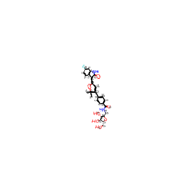 CC1(C)O/C(=C2/C(=O)Nc3cc(F)ccc32)C=C1c1ccc(C(=O)NC[C@H]2O[C@H](CO)[C@@H](O)[C@H]2O)cc1